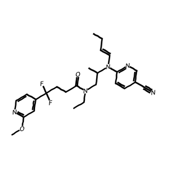 CCC=CN(c1ccc(C#N)cn1)C(C)CN(CC)C(=O)CCC(F)(F)c1ccnc(OC)c1